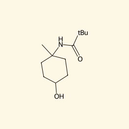 CC1(NC(=O)C(C)(C)C)CCC(O)CC1